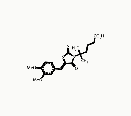 COc1ccc(/C=C2\SC(=S)N(C(C)(C)CCCC(=O)O)C2=O)cc1OC